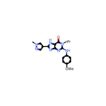 CCCn1c(Nc2ccc(OC)cc2)nc2nc(-c3cnn(C)c3)[nH]c2c1=O